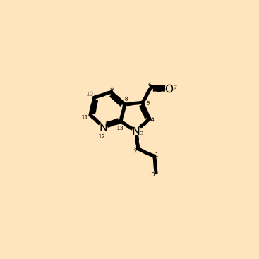 CCCn1cc(C=O)c2cccnc21